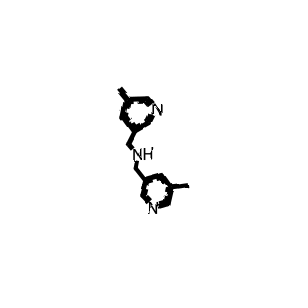 Cc1cncc(CNCc2cncc(C)c2)c1